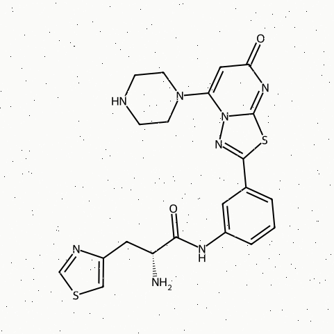 N[C@H](Cc1cscn1)C(=O)Nc1cccc(-c2nn3c(N4CCNCC4)cc(=O)nc3s2)c1